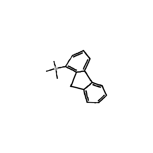 C[Si](C)(C)c1cccc2c1Cc1ccccc1-2